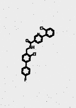 O=C(NCc1ccc(-c2ccc(F)cc2)cc1Cl)c1ccc(-c2ccccc2Cl)nc1